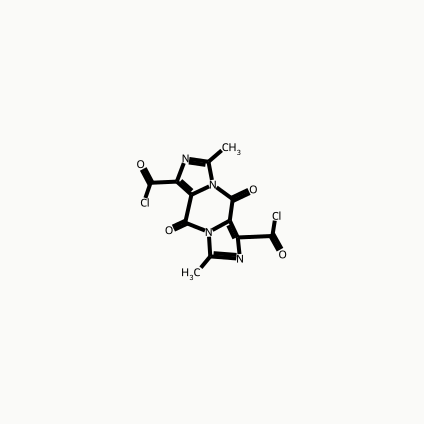 Cc1nc(C(=O)Cl)c2c(=O)n3c(C)nc(C(=O)Cl)c3c(=O)n12